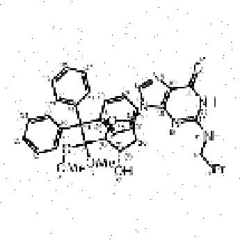 COOC(OC)([C@H]1O[C@@H](n2cnc3c(=O)[nH]c(NCC(C)C)nc32)C[C@@H]1O)C(c1ccccc1)(c1ccccc1)c1ccccc1